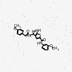 COc1ccc(CC(=O)Nc2n[nH]c3sc(C(=O)Nc4cccc(OC)c4)cc23)cc1